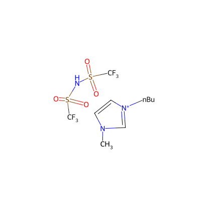 CCCC[n+]1ccn(C)c1.O=S(=O)(NS(=O)(=O)C(F)(F)F)C(F)(F)F